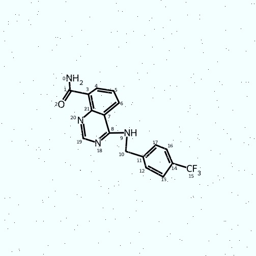 NC(=O)c1cccc2c(NCc3ccc(C(F)(F)F)cc3)ncnc12